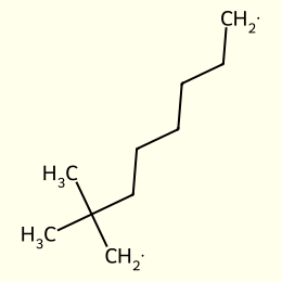 [CH2]CCCCCC([CH2])(C)C